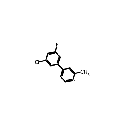 Cc1[c]ccc(-c2cc(F)cc(Cl)c2)c1